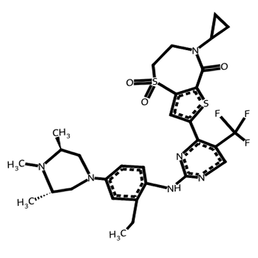 CCc1cc(N2C[C@H](C)N(C)[C@@H](C)C2)ccc1Nc1ncc(C(F)(F)F)c(-c2cc3c(s2)C(=O)N(C2CC2)CCS3(=O)=O)n1